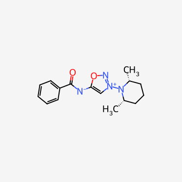 C[C@@H]1CCC[C@H](C)N1[n+]1cc([N-]C(=O)c2ccccc2)on1